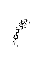 CCOc1ccc(/C=C/C(=O)O[C@@H]2CO[C@H]3[C@@H]2OC[C@@H]3C)cc1